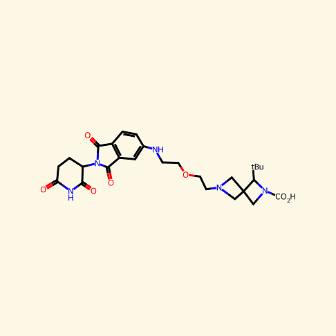 CC(C)(C)C1N(C(=O)O)CC12CN(CCOCCNc1ccc3c(c1)C(=O)N(C1CCC(=O)NC1=O)C3=O)C2